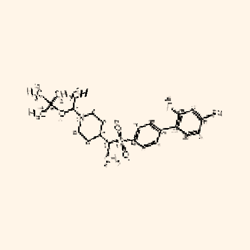 CC(C1CCN(C(O)OC(C)(C)C)CC1)S(=O)(=O)c1ccc(-c2ccc(F)cc2F)cc1